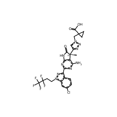 C[C@]1(c2cn(CC3(C(=O)O)CC3)nn2)C(=O)Nc2nc(-c3nn(CCC(F)(F)C(F)(F)F)c4cc(Cl)ccc34)nc(N)c21